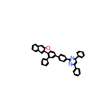 c1ccc(-c2cc(-c3ccccc3)nc(-c3ccc(-c4cc(-c5ccccc5)c5c(c4)oc4cc6ccccc6cc45)cc3)n2)cc1